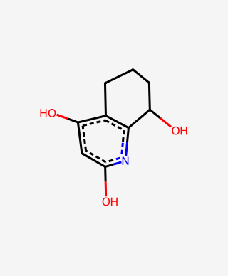 Oc1cc(O)c2c(n1)C(O)CCC2